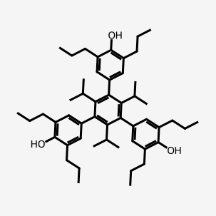 CCCc1cc(-c2c(C(C)C)c(-c3cc(CCC)c(O)c(CCC)c3)c(C(C)C)c(-c3cc(CCC)c(O)c(CCC)c3)c2C(C)C)cc(CCC)c1O